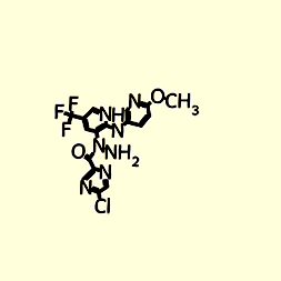 COc1ccc(Nc2ncc(C(F)(F)F)cc2N(N)C(=O)c2cnc(Cl)cn2)cn1